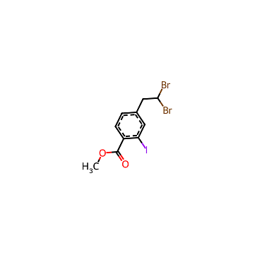 COC(=O)c1ccc(CC(Br)Br)cc1I